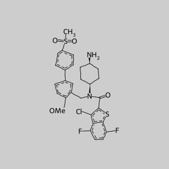 COc1ccc(-c2ccc(S(C)(=O)=O)cc2)cc1CN(C(=O)c1sc2c(F)ccc(F)c2c1Cl)[C@H]1CC[C@@H](N)CC1